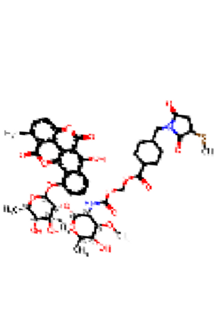 CO[C@H]1[C@@H](O)[C@@H](C)O[C@H](O[C@H]2[C@H](Oc3cccc4c(O)c5c(=O)oc6ccc(C)c7c(=O)oc(c34)c5c67)O[C@H](C)[C@H](O)[C@]2(C)O)[C@@H]1NC(=O)OCOC(=O)C1CCC(CN2C(=O)CC(SC)C2=O)CC1